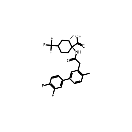 Cc1ccc(-c2ccc(F)c(F)c2)cc1CC(=O)N[C@@]1(C(=O)O)CCC(C(F)(F)F)C[C@@H]1C